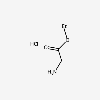 CCOC(=O)CN.Cl